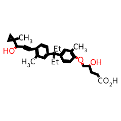 CCC(CC)(c1ccc(C#CC(O)C2(C)CC2)c(C)c1)c1ccc(OCC(O)CCC(=O)O)c(C)c1